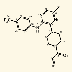 C=CC(=O)N1CCN(c2nc(C)cnc2Nc2ccc(C(F)(F)F)cc2)CC1